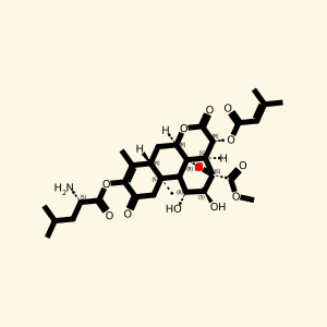 COC(=O)[C@@]12OC[C@]34C([C@@H](O)[C@@H]1O)[C@@]1(C)CC(=O)C(OC(=O)[C@@H](N)CC(C)C)=C(C)[C@@H]1C[C@H]3OC(=O)[C@H](OC(=O)C=C(C)C)[C@@H]24